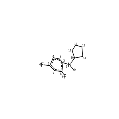 CN(c1ccc(F)cc1F)C1CCCC1